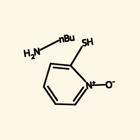 CCCCN.[O-][n+]1ccccc1S